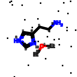 CCOCC.NCCc1c[nH]cn1